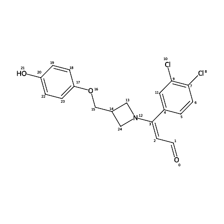 O=C/C=C(\c1ccc(Cl)c(Cl)c1)N1CC(COc2ccc(O)cc2)C1